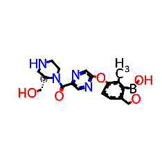 Cc1c(Oc2cnc(C(=O)N3CCNC[C@H]3CO)cn2)ccc2c1B(O)OC2